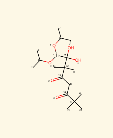 CC(C)[O][Ti]([O]C(C)C)[C](O)(O)C(C)(C)C(=O)CC(=O)C(C)(C)C